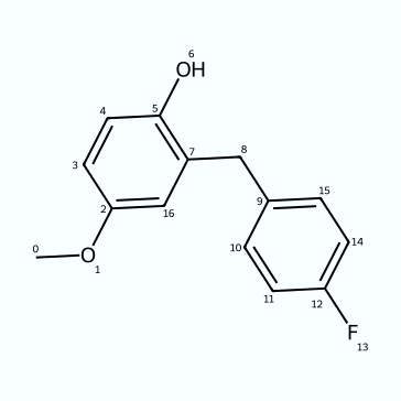 COc1ccc(O)c(Cc2ccc(F)cc2)c1